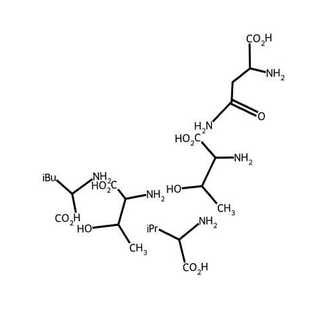 CC(C)C(N)C(=O)O.CC(O)C(N)C(=O)O.CC(O)C(N)C(=O)O.CCC(C)C(N)C(=O)O.NC(=O)CC(N)C(=O)O